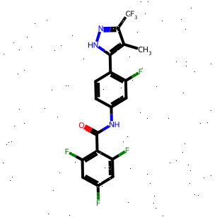 Cc1c(C(F)(F)F)n[nH]c1-c1ccc(NC(=O)c2c(F)cc(F)cc2F)cc1F